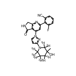 [2H]C1([2H])N(c2ccn(-c3cc(-c4c(F)cccc4C#N)nc4c3C(=O)NC4)n2)C([2H])([2H])C(C)(O)C([2H])([2H])C1([2H])[2H]